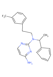 CC(c1ccccc1)N(CCc1cccc(C(F)(F)F)c1)c1nccc(N)n1